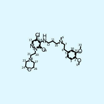 COc1ccc(CCN(C)CCCNc2c(Cl)cnn(CCN3CCOCC3)c2=O)cc1OC